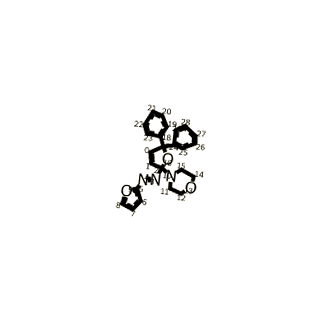 C1=CC(N=Nc2ccco2)(N2CCOCC2)OC1(c1ccccc1)c1ccccc1